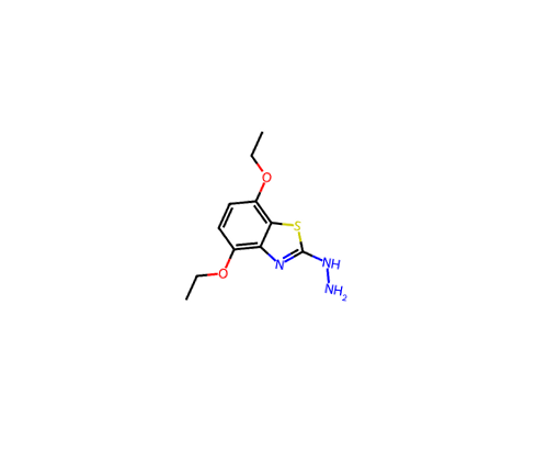 CCOc1ccc(OCC)c2sc(NN)nc12